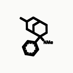 CNC1(c2ccccc2)CCC2CC(C)CC1C2